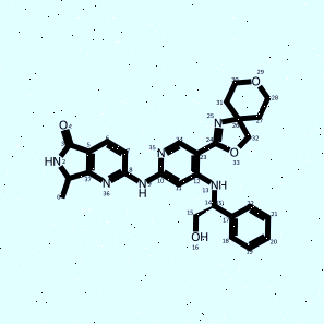 CC1NC(=O)c2ccc(Nc3cc(N[C@H](CO)c4ccccc4)c(C4=NC5(CCOCC5)CO4)cn3)nc21